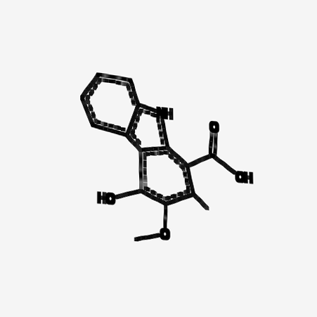 COc1c(C)c(C(=O)O)c2[nH]c3ccccc3c2c1O